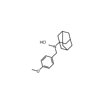 COc1ccc(CN(C)C23CC4CC(CC(C4)C2)C3)cc1.Cl